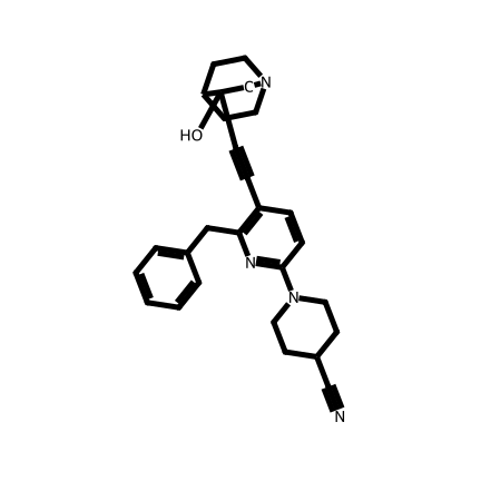 N#CC1CCN(c2ccc(C#CC3(O)CN4CCC3CC4)c(Cc3ccccc3)n2)CC1